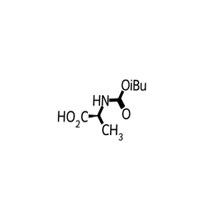 CC(C)COC(=O)N[C@@H](C)C(=O)O